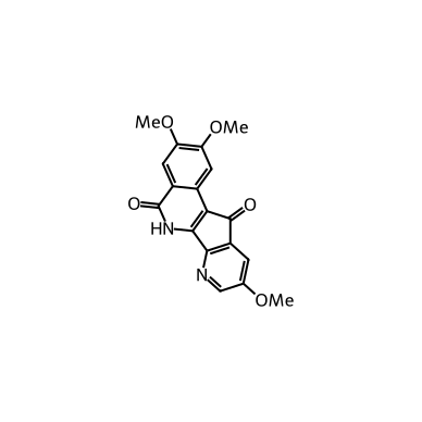 COc1cnc2c(c1)C(=O)c1c-2[nH]c(=O)c2cc(OC)c(OC)cc12